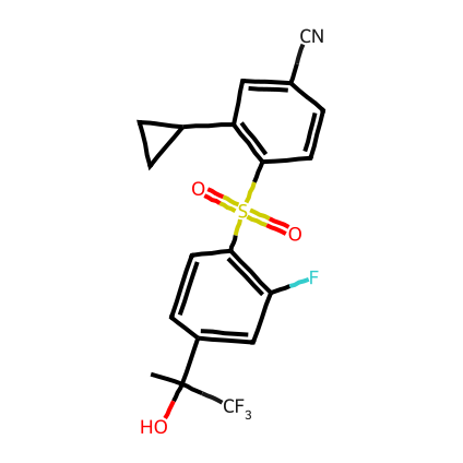 CC(O)(c1ccc(S(=O)(=O)c2ccc(C#N)cc2C2CC2)c(F)c1)C(F)(F)F